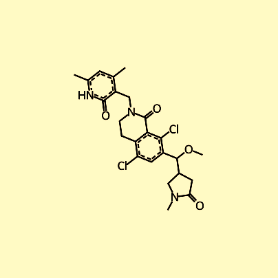 COC(c1cc(Cl)c2c(c1Cl)C(=O)N(Cc1c(C)cc(C)[nH]c1=O)CC2)C1CC(=O)N(C)C1